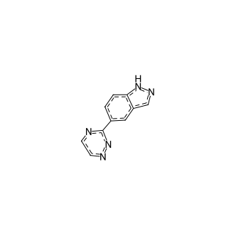 c1cnc(-c2ccc3[nH]ncc3c2)nn1